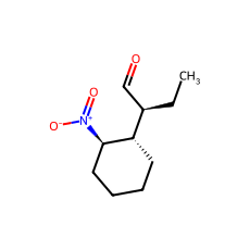 CC[C@H](C=O)[C@@H]1CCCC[C@H]1[N+](=O)[O-]